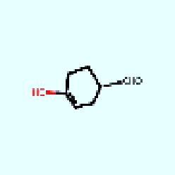 O=C[C@H]1CC=C(O)CC1